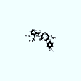 CCCO[C@H]1COC[C@H](NC(=O)c2nccc(OC)c2OCOC(C)=O)C(=O)O[C@@H](C)[C@@H]1Oc1ccc(C(F)(F)F)cc1